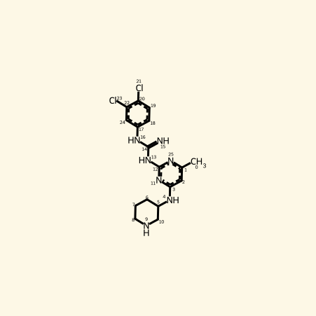 Cc1cc(NC2CCCNC2)nc(NC(=N)Nc2ccc(Cl)c(Cl)c2)n1